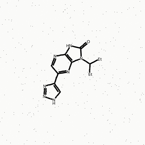 CCC(CC)n1c(=O)[nH]c2ncc(-c3c[nH]nn3)nc21